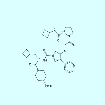 O=C(N[C@@H](CC1CCC1)C(=O)N1CCN(C(=O)O)CC1)c1cc(OCC(=O)N2CCC[C@H]2C(=O)NC2CCC2)n(-c2ccccc2)n1